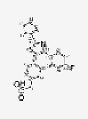 O=[SH](=O)Cc1ccc(-c2sc(-c3cccs3)nc2-c2ccc(F)cc2)cc1